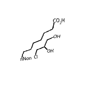 CCCCCCCCCCCCCCCC(=O)O.OCC(O)CCl